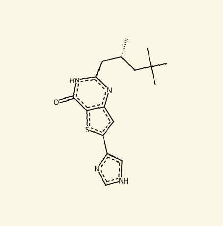 C[C@@H]([CH]c1nc2cc(-c3c[nH]cn3)sc2c(=O)[nH]1)CC(C)(C)C